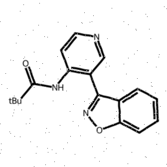 CC(C)(C)C(=O)Nc1ccncc1-c1noc2ccccc12